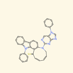 S=C1/C=C\C=C/CN(c2ncc3c(ncn3-c3ccccc3)n2)c2ccc3c4ccccc4n(-c4ccccc4)c3c21